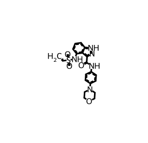 C=CS(=O)(=O)Nc1cccc2[nH]nc(C(=O)Nc3ccc(N4CCOCC4)cc3)c12